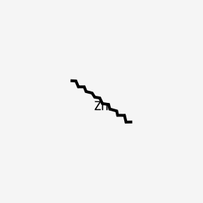 CCCCCCCCCCCCCCCC.[Zn]